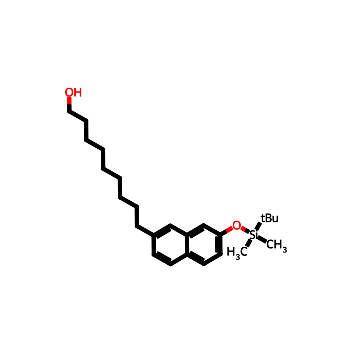 CC(C)(C)[Si](C)(C)Oc1ccc2ccc(CCCCCCCCCO)cc2c1